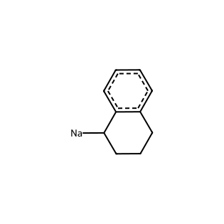 [Na][CH]1CCCc2ccccc21